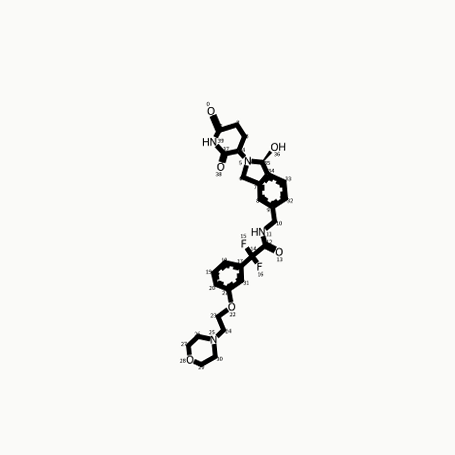 O=C1CCC(N2Cc3cc(CNC(=O)C(F)(F)c4cccc(OCCN5CCOCC5)c4)ccc3[C@@H]2O)C(=O)N1